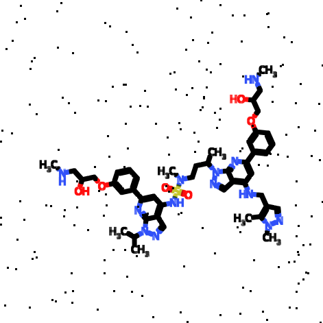 CNCC(O)COc1cccc(-c2cc(NS(=O)(=O)N(C)CCC(C)n3ncc4c(NCc5cnn(C)c5C)cc(-c5cccc(OCC(O)CNC)c5)nc43)c3cnn(C(C)C)c3n2)c1